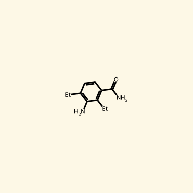 CCc1ccc(C(N)=O)c(CC)c1N